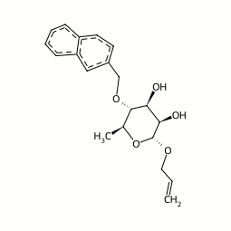 C=CCO[C@@H]1O[C@@H](C)[C@H](OCc2ccc3ccccc3c2)[C@@H](O)[C@H]1O